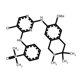 COc1cc2c(cc1Nc1ncc(Cl)c(Nc3cc[c]cc3P(C)(C)=O)n1)CN(C)C(C)(C)C2